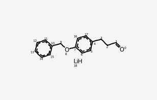 O=CCCc1ccc(OCc2ccccc2)cc1.[LiH]